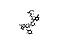 CC[C@H]1CO[C@@H]1[C@H](O)[C@H](CC1CCCCC1)NC(=O)N1CCC[C@@H]([C@@H](OCCNC(=O)OC)c2cccc(Cl)c2)C1